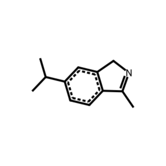 CC1=NCc2cc(C(C)C)ccc21